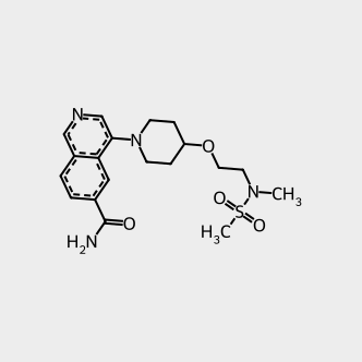 CN(CCOC1CCN(c2cncc3ccc(C(N)=O)cc23)CC1)S(C)(=O)=O